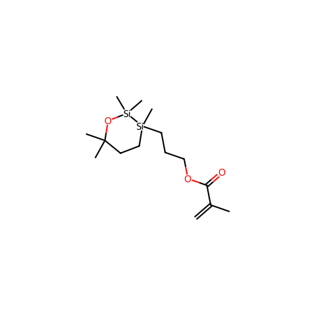 C=C(C)C(=O)OCCC[Si]1(C)CCC(C)(C)O[Si]1(C)C